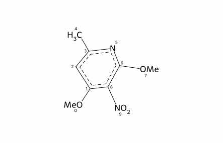 COc1cc(C)nc(OC)c1[N+](=O)[O-]